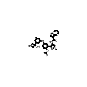 Cn1cc(NC(=O)c2cnn3cccnc23)c(-c2cc(Oc3cc(F)cc(C4(O)CNC4)c3)ccc2OC(F)F)n1